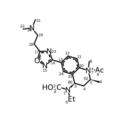 CCN(C(=O)O)[C@@H]1C[C@H](C)[N+](C)(C(C)=O)c2ccc(-c3noc(CCN(C)C)n3)cc21